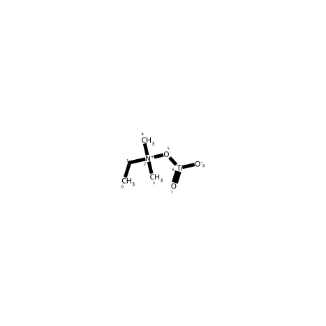 CC[N+](C)(C)[O][Ti](=[O])[O-]